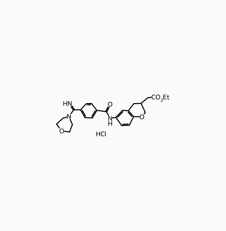 CCOC(=O)CC1COc2ccc(NC(=O)c3ccc(C(=N)N4CCOCC4)cc3)cc2C1.Cl